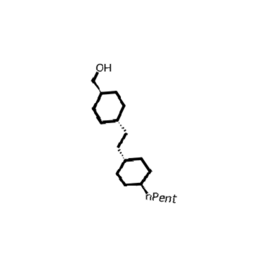 CCCCC[C@H]1CC[C@H](CC[C@H]2CC[C@H](CO)CC2)CC1